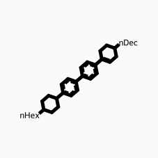 CCCCCCCCCCC1CC=C(c2ccc(-c3ccc(C4CCC(CCCCCC)CC4)cc3)cc2)CC1